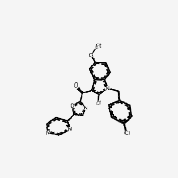 CCOc1ccc2c(c1)c(C(=O)c1ncc(-c3ccncn3)o1)c(Cl)n2Cc1ccc(Cl)cc1